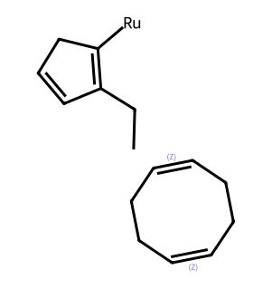 C1=C\CC/C=C\CC/1.CCC1=[C]([Ru])CC=C1